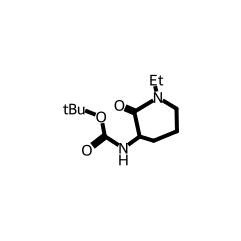 CCN1CCCC(NC(=O)OC(C)(C)C)C1=O